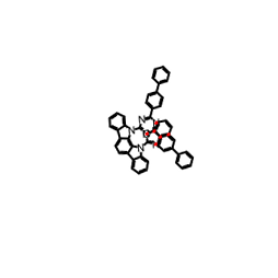 c1ccc(-c2ccc(-c3nc(-c4ccc(-c5ccccc5)cc4)nc(-n4c5ccccc5c5ccc6c7ccccc7n(-c7nc8ccccc8o7)c6c54)n3)cc2)cc1